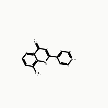 CC(=O)Oc1cccc2c(=O)cc(-c3ccncc3)oc12